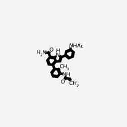 C=CC(=O)Nc1cccc(-c2ccc(C(N)=O)c3[nH]c(-c4cccc(NC(C)=O)c4)cc23)c1C